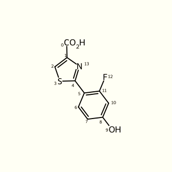 O=C(O)c1csc(-c2ccc(O)cc2F)n1